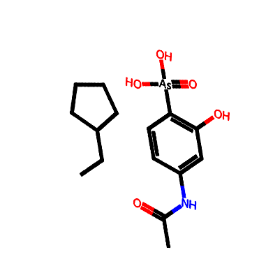 CC(=O)Nc1ccc([As](=O)(O)O)c(O)c1.CCC1CCCC1